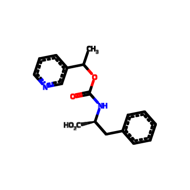 CC(OC(=O)N[C@@H](Cc1ccccc1)C(=O)O)c1cccnc1